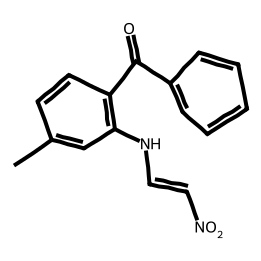 Cc1ccc(C(=O)c2ccccc2)c(N/C=C/[N+](=O)[O-])c1